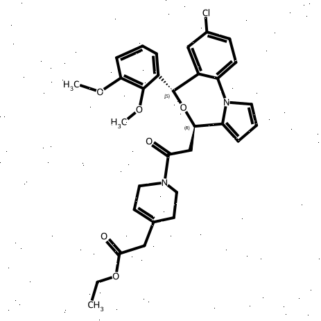 CCOC(=O)CC1=CCN(C(=O)C[C@H]2O[C@H](c3cccc(OC)c3OC)c3cc(Cl)ccc3-n3cccc32)CC1